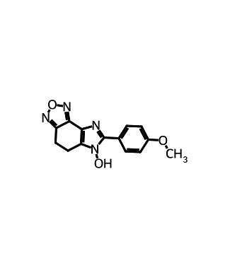 COc1ccc(-c2nc3c(n2O)CCc2nonc2-3)cc1